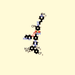 Cc1cc(C(F)(F)F)ccc1C1=C(CN2CCN(c3ccc(C(=O)NS(=O)(=O)c4ccc(NCCCC5CCN(C)CC5)c(N=O)c4)c(Oc4cnc5[nH]ccc5c4)c3)CC2)CCC(C)(C)C1